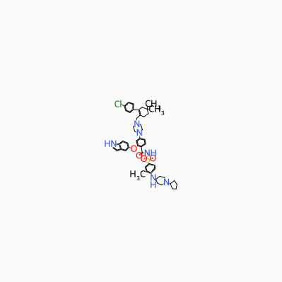 Cc1cc(S(=O)(=O)NC(=O)c2ccc(N3CCN(CC4=C(c5ccc(Cl)cc5)CC(C)(C)CC4)CC3)cc2Oc2ccc3[nH]ccc3c2)ccc1NC1CCN(C2CCCC2)CC1